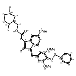 COc1ccc2c(c1)C(CC(=O)OCC1CN(C)CCN1C)=C(C)/C2=C/c1cc(OC)c(OCc2ccccc2)c(OC)c1